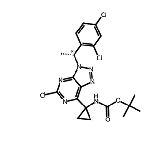 C[C@H](c1ccc(Cl)cc1Cl)n1nnc2c(C3(NC(=O)OC(C)(C)C)CC3)nc(Cl)nc21